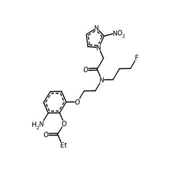 CCC(=O)Oc1c(N)cccc1OCCN(CCCF)C(=O)Cn1ccnc1[N+](=O)[O-]